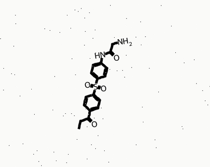 CCC(=O)c1ccc(S(=O)(=O)c2ccc(NC(=O)CN)cc2)cc1